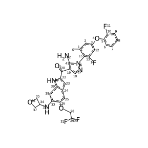 Cc1cc(Oc2ccccc2F)cc(F)c1-n1ncc(C(=O)c2cc3cc(OCC(F)F)c(NC4COC4)cc3[nH]2)c1N